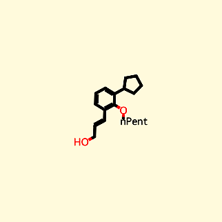 CCCCCOc1c(/C=C/CO)cccc1C1CCCC1